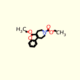 CCOC(=O)C1=C(c2ccccc2)CCN(C(=O)OCC)CC1